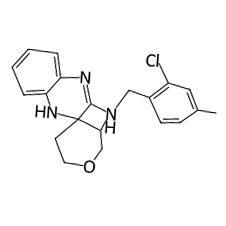 Cc1ccc(CNC2=Nc3ccccc3NC23CCOCC3C)c(Cl)c1